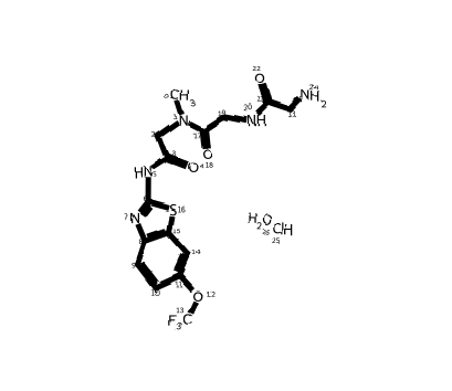 CN(CC(=O)Nc1nc2ccc(OC(F)(F)F)cc2s1)C(=O)CNC(=O)CN.Cl.O